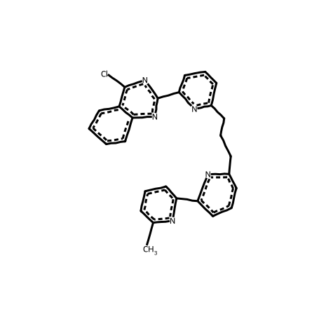 Cc1cccc(-c2cccc(CCCc3cccc(-c4nc(Cl)c5ccccc5n4)n3)n2)n1